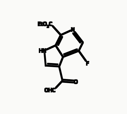 CCOC(=O)c1ncc(F)c2c(C(=O)C=O)c[nH]c12